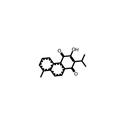 Cc1cccc2c3c(ccc12)C(=O)C(C(C)C)=C(O)C3=O